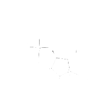 CC(C)[C@H]1[C@H](O[Si](C)(C)C(C)(C)C)CCN1C(=O)O